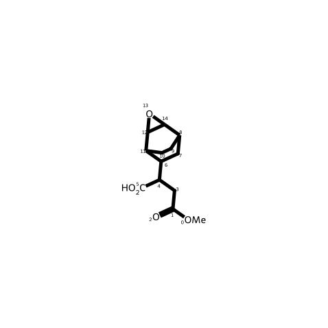 COC(=O)CC(C(=O)O)C1CC2CCC1C1OC21